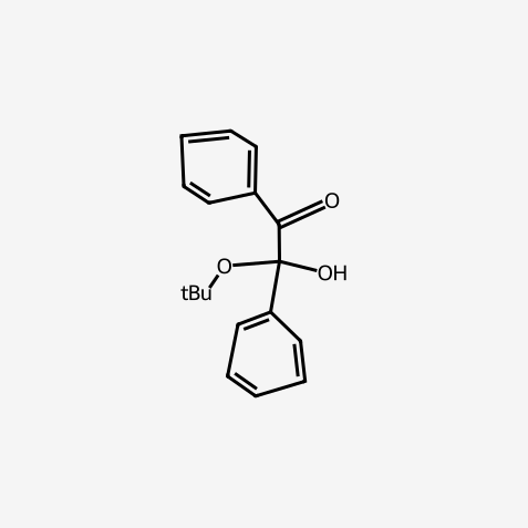 CC(C)(C)OC(O)(C(=O)c1ccccc1)c1ccccc1